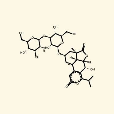 CC(C)c1oc(=O)cc2c1[C@@H](O)[C@H]1OC(=O)[C@@]3(C)C[C@H](O[C@@H]4O[C@H](CO)[C@@H](O)[C@H](O[C@@H]5O[C@H](CO)[C@@H](O)[C@H](O)[C@H]5O)[C@H]4O)C[C@@]2(C)[C@@H]13